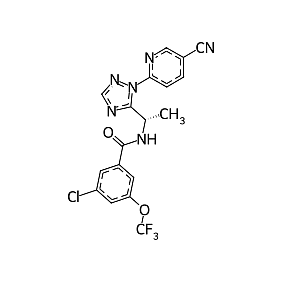 C[C@H](NC(=O)c1cc(Cl)cc(OC(F)(F)F)c1)c1ncnn1-c1ccc(C#N)cn1